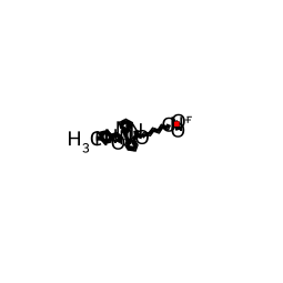 CN1CCN(CC(=O)N2c3ccccc3C(OCCCCCCO[N+](=O)[O-])=Nc3cccnc32)CC1